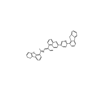 C=C/C(=C\N=C(/C)c1cccc2c3c(sc12)C=CCC3)c1cccc2cc(-c3ccc(-c4cccc5c4Cc4ccccc4-5)nc3)ccc12